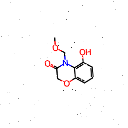 COCN1C(=O)COc2cccc(O)c21